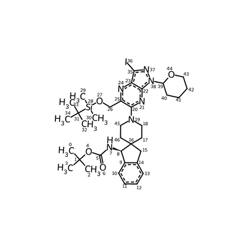 CC(C)(C)OC(=O)N[C@@H]1c2ccccc2CC12CCN(c1nc3c(nc1CO[Si](C)(C)C(C)(C)C)c(I)nn3C1CCCCO1)CC2